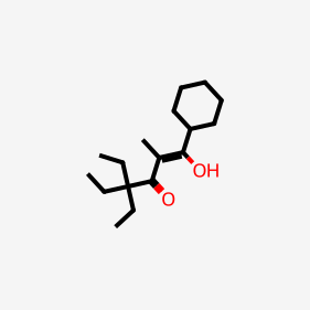 CCC(CC)(CC)C(=O)/C(C)=C(\O)C1CCCCC1